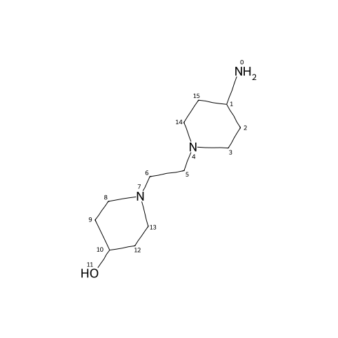 NC1CCN(CCN2CCC(O)CC2)CC1